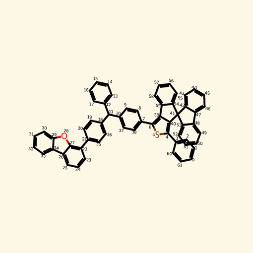 c1ccc(-c2sc(-c3ccc(C(c4ccccc4)c4ccc(-c5cccc6c5oc5ccccc56)cc4)cc3)c3c2C2(c4ccccc4-c4ccccc42)c2ccccc2-3)cc1